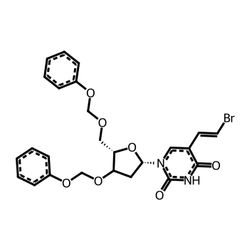 O=c1[nH]c(=O)n([C@@H]2CC(OCOc3ccccc3)[C@H](COCOc3ccccc3)O2)cc1C=CBr